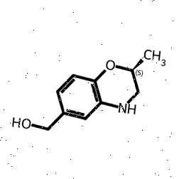 C[C@H]1CNc2cc(CO)ccc2O1